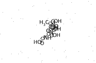 Cc1ccc(N(CC(=O)O)CC(=O)O)c(OCCOc2cc(-c3cc4ccc(C(=O)O)cc4[nH]3)ccc2N(CC(=O)O)CC(=O)O)c1